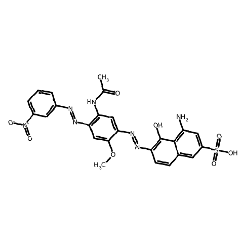 COc1cc(N=Nc2cccc([N+](=O)[O-])c2)c(NC(C)=O)cc1N=Nc1ccc2cc(S(=O)(=O)O)cc(N)c2c1O